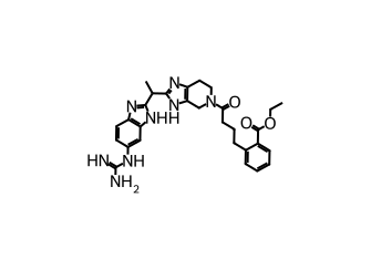 CCOC(=O)c1ccccc1CCCC(=O)N1CCc2nc(C(C)c3nc4ccc(NC(=N)N)cc4[nH]3)[nH]c2C1